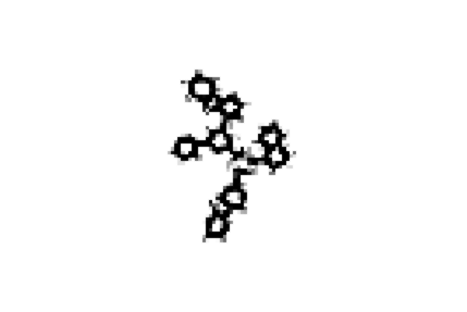 c1ccc(-c2cc(-c3nc(-c4ccc5c(c4)oc4ccccc45)nc(-c4cccc5ccccc45)n3)cc(-c3cccc4c3sc3ccccc34)c2)cc1